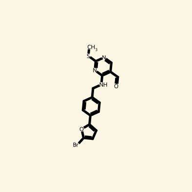 CSc1ncc(C=O)c(NCc2ccc(-c3ccc(Br)o3)cc2)n1